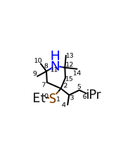 CCSC1(C(C)CC(C)C)CC(C)(C)NC(C)(C)C1